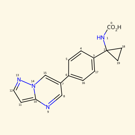 O=C(O)NC1(c2ccc(-c3cnc4ccnn4c3)cc2)CC1